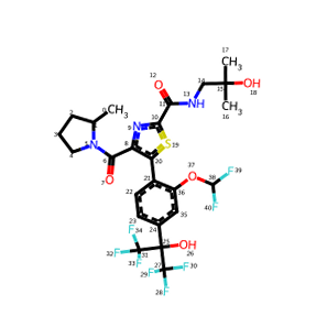 CC1CCCN1C(=O)c1nc(C(=O)NCC(C)(C)O)sc1-c1ccc(C(O)(C(F)(F)F)C(F)(F)F)cc1OC(F)F